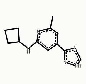 Cc1cc(-c2nc[nH]n2)cc(NC2CCC2)n1